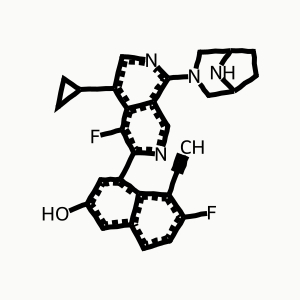 C#Cc1c(F)ccc2cc(O)cc(-c3ncc4c(N5CC6CCC(C5)N6)ncc(C5CC5)c4c3F)c12